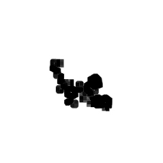 CC(=O)[C@H]1C[C@@H](C(=O)NCCOCCO)C[C@@H](C(=O)N[C@@H](Cc2ccccc2)C(=O)Nc2ccc3ncccc3c2)C1